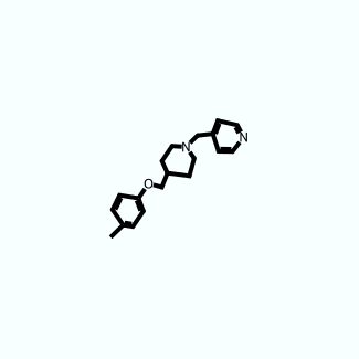 Cc1ccc(OCC2CCN(Cc3ccncc3)CC2)cc1